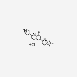 Cc1cn2nc(-c3cc(F)c4nc(C5CCN(C)CC5)ccc4c3)cc(C)c2n1.Cl